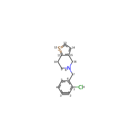 Clc1c#cccc1CN1CCc2sccc2C1